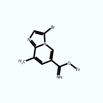 CCOC(=N)c1cc(C)c2ncc(Br)n2c1